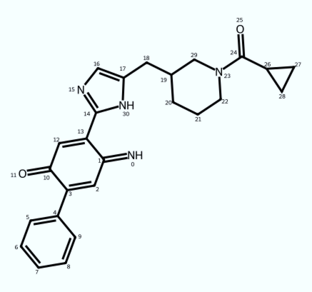 N=C1C=C(c2ccccc2)C(=O)C=C1c1ncc(CC2CCCN(C(=O)C3CC3)C2)[nH]1